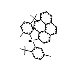 Cc1ccc(C(F)(F)F)c(P(=O)(c2cc(C(F)(F)F)ccc2C)c2ccc3ccc4cccc5ccc2c3c45)c1